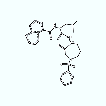 CC(C)CC(NC(=O)c1nccc2ccccc12)C(=O)N[C@H]1CCCN(S(=O)(=O)c2ccccn2)CC1=O